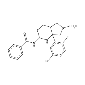 O=C(NC1NC2(c3cc(Br)ccc3F)CN(C(=O)O)CC2CS1)c1ccccc1